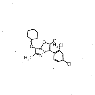 Cc1nn2c(-c3ccc(Cl)cc3Cl)c(C)oc2c1OC1CCCCC1